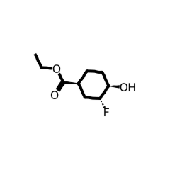 CCOC(=O)[C@H]1CC[C@@H](O)[C@H](F)C1